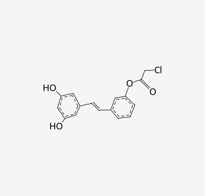 O=C(CCl)Oc1cccc(/C=C/c2cc(O)cc(O)c2)c1